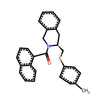 Cc1ccc(SC[C@@H]2Cc3ccccc3CN2C(=O)c2cccc3ccccc23)cc1